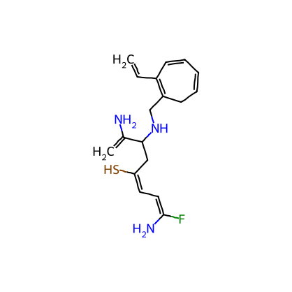 C=CC1=C(CNC(C/C(S)=C\C=C(/N)F)C(=C)N)CC=CC=C1